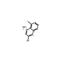 Brc1cnc2c(I)cccc2c1.N